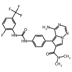 CN(C)C(=O)c1cn2ncnc(N)c2c1-c1ccc(NC(=O)Nc2cc(C(F)(F)F)ccc2F)cc1